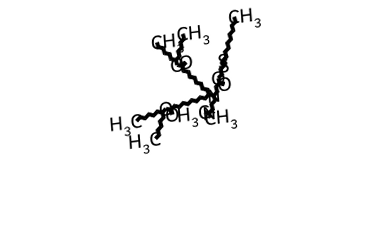 CCCCCCCCCCSSCCOC(=O)CCN(CCCN(C)C)C(CCCCCCCCC(=O)OC(CCCCCC)CCCCCC)CCCCCCCCC(=O)OC(CCCCCC)CCCCCC